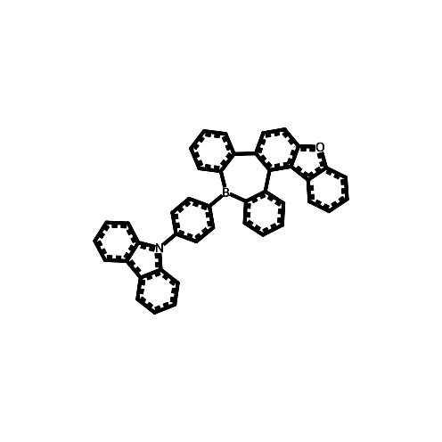 c1ccc2c(c1)B(c1ccc(-n3c4ccccc4c4ccccc43)cc1)c1ccccc1-c1c-2ccc2oc3ccccc3c12